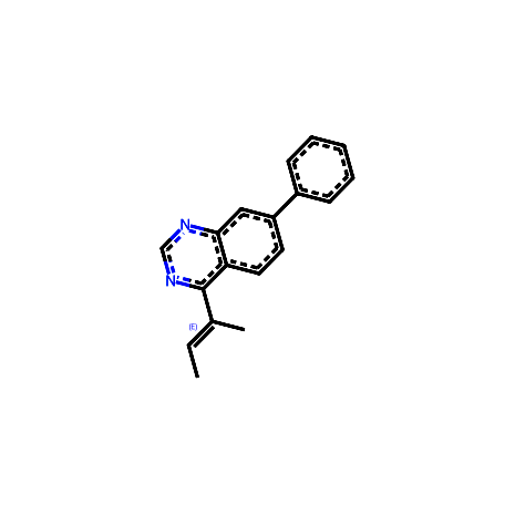 C/C=C(\C)c1ncnc2cc(-c3ccccc3)ccc12